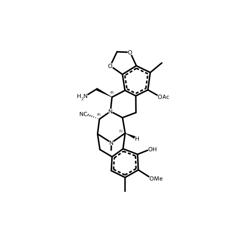 COc1c(C)cc2c(c1O)[C@H]1C3Cc4c(OC(C)=O)c(C)c5c(c4[C@H](CN)N3[C@@H](C#N)C(C2)N1C)OCO5